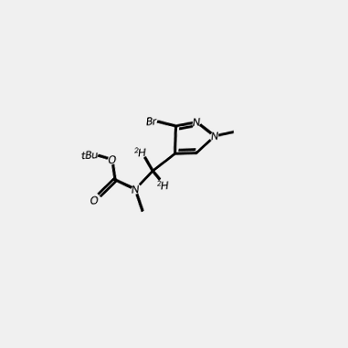 [2H]C([2H])(c1cn(C)nc1Br)N(C)C(=O)OC(C)(C)C